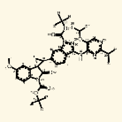 COc1ccc2c(c1)[C@]1(C[C@H]1c1ccc3c(Nc4nc(C(C)C)ncc4OC(F)F)nn(C(=O)OC(C)(C)C)c3c1)C(=O)N2C(=O)OC(C)(C)C